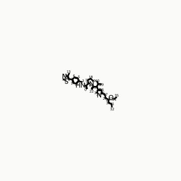 C=C(NCc1ccc(-c2scnc2C)cc1)C1CCCN1C(=C)C(C1=CC(CCC(CCC)OCC)=NC1)C(C)C